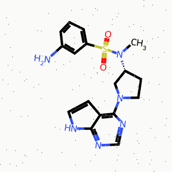 CN([C@@H]1CCN(c2ncnc3[nH]ccc23)C1)S(=O)(=O)c1cccc(N)c1